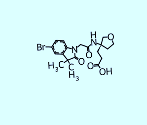 CC1(C)C(=O)N(CC(=O)N[C@@]2(CCC(=O)O)CCOC2)c2ccc(Br)cc21